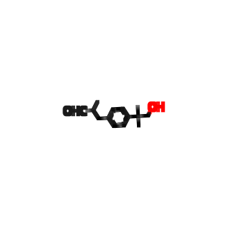 CC(C=O)Cc1ccc(C(C)(C)CO)cc1